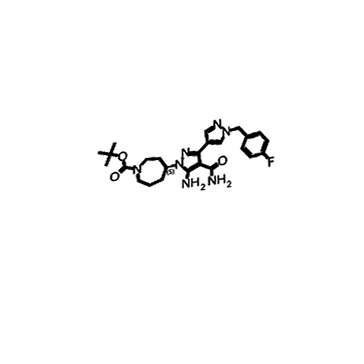 CC(C)(C)OC(=O)N1CCC[C@H](n2nc(-c3cnn(Cc4ccc(F)cc4)c3)c(C(N)=O)c2N)CC1